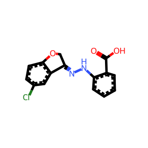 O=C(O)c1ccccc1NN=C1COc2ccc(Cl)cc21